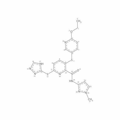 CCOc1ccc(Sc2ccc(Sc3nnc[nH]3)nc2C(=O)Nc2ccn(C)n2)cn1